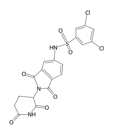 O=C1CCC(N2C(=O)c3ccc(NS(=O)(=O)c4cc(Cl)cc(Cl)c4)cc3C2=O)C(=O)N1